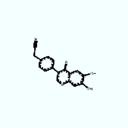 N#CCc1ccc(-c2coc3cc(O)c(O)cc3c2=O)cc1